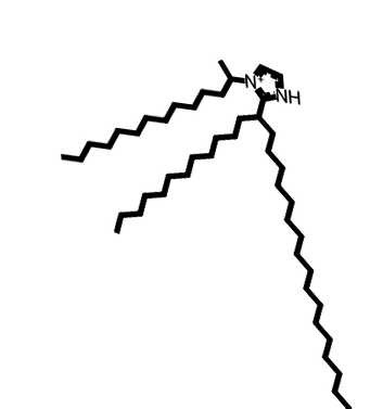 CCCCCCCCCCCCCCCCCCC(CCCCCCCCCCCC)c1[nH]cc[n+]1C(C)CCCCCCCCCCCC